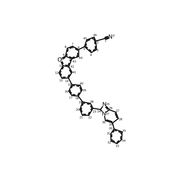 N#Cc1ccc(-c2ccc3oc4ccc(-c5ccc(-c6cccc(C7N=C8C=CC(c9ccccc9)=CN87)c6)cc5)cc4c3c2)cc1